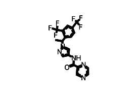 CC(c1ccc(C(F)(F)F)cc1C(F)(F)F)n1cc(NC(=O)c2cnccn2)cn1